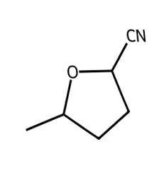 CC1CCC(C#N)O1